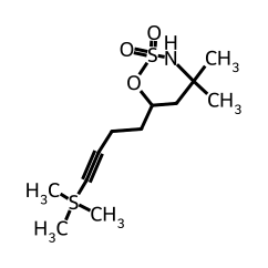 CC1(C)CC(CCC#CS(C)(C)C)OS(=O)(=O)N1